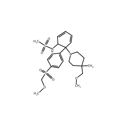 COCC1(C)CCN(C2(c3ccc(S(=O)(=O)COC)cc3)C=CC=CC2NS(C)(=O)=O)CC1